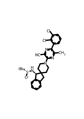 Cc1nc(N2CCC3(CC2)Cc2ccccc2[C@H]3N[S@+]([O-])C(C)(C)C)c(C#N)nc1-c1cccc(Cl)c1Cl